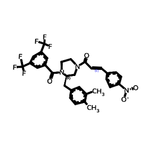 Cc1ccc(C[C@@H]2CN(C(=O)/C=C/c3ccc([N+](=O)[O-])cc3)CCN2C(=O)c2cc(C(F)(F)F)cc(C(F)(F)F)c2)cc1C